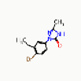 CCc1cc(-n2nc(C)[nH]c2=O)ccc1Br